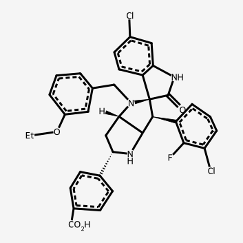 CCOc1cccc(CN2[C@H]3C[C@@H](c4ccc(C(=O)O)cc4)NC3[C@H](c3cccc(Cl)c3F)[C@]23C(=O)Nc2cc(Cl)ccc23)c1